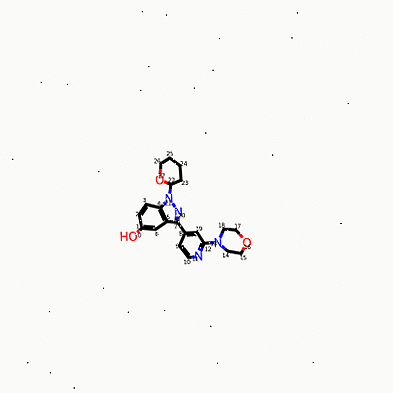 Oc1ccc2c(c1)c(-c1ccnc(N3CCOCC3)c1)nn2C1CCCCO1